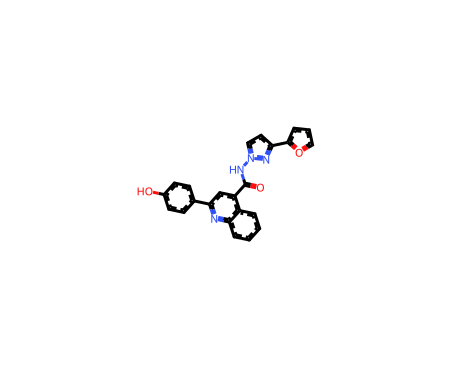 O=C(Nn1ccc(-c2ccco2)n1)c1cc(-c2ccc(O)cc2)nc2ccccc12